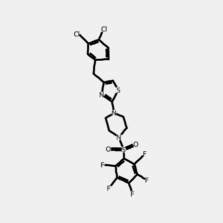 O=S(=O)(c1c(F)c(F)c(F)c(F)c1F)N1CCN(c2nc(Cc3ccc(Cl)c(Cl)c3)cs2)CC1